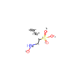 O=S(=O)([O-])CCN[O-].[Na+].[Na+]